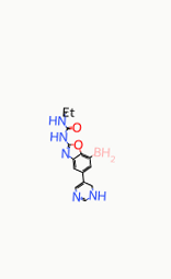 Bc1cc(C2=CN=CNC2)cc2nc(NC(=O)NCC)oc12